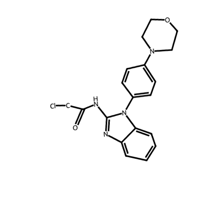 O=C(CCl)Nc1nc2ccccc2n1-c1ccc(N2CCOCC2)cc1